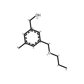 CCCOCc1cc(C)cc(CO)c1